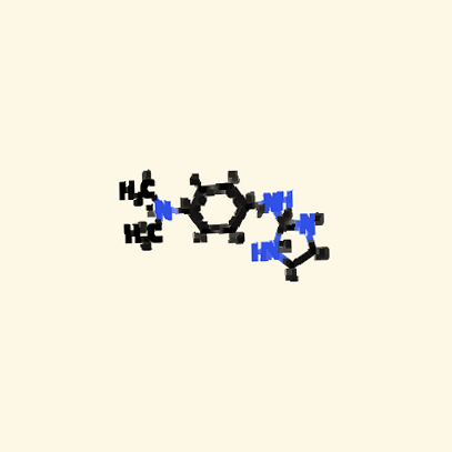 CN(C)c1ccc(NC2=NCCN2)cc1